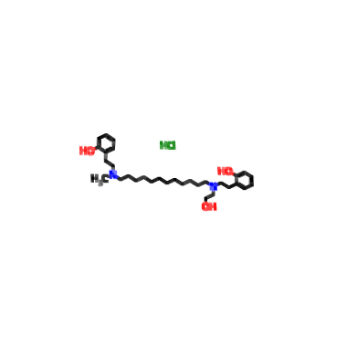 CN(CCCCCCCCCCCCN(CCO)CCc1ccccc1O)CCc1ccccc1O.Cl